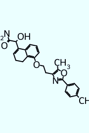 Cc1ccc(-c2nc(CCOc3cccc4c3CCC=C4C(O)C(N)=O)c(C)o2)cc1